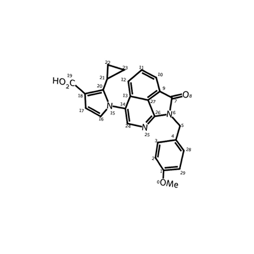 COc1ccc(CN2C(=O)c3cccc4c(-n5ccc(C(=O)O)c5C5CC5)cnc2c34)cc1